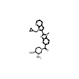 Cn1c(-c2cc3cccnc3n2CC2CC2)nc2cc(C(=O)N3CC[C@H](O)[C@@H](N)C3)ccc21